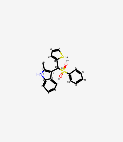 Cc1[nH]c2ccccc2c1C(c1cccs1)S(=O)(=O)c1ccccc1